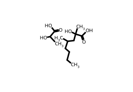 CC(O)C(=O)O.CCCCC(C)CC(C)(O)C(=O)O